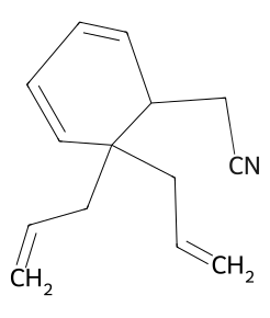 C=CCC1(CC=C)C=CC=CC1CC#N